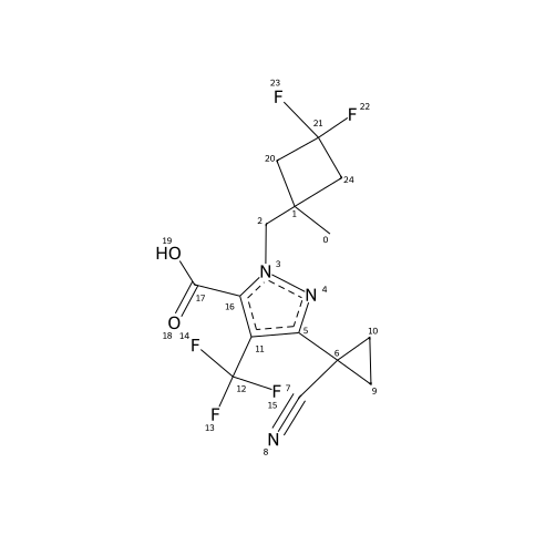 CC1(Cn2nc(C3(C#N)CC3)c(C(F)(F)F)c2C(=O)O)CC(F)(F)C1